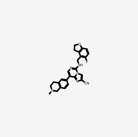 CN1CCc2cc(-c3cnc(NCc4c(F)ccc5c4CCO5)n4cc(C#N)nc34)ccc2C1